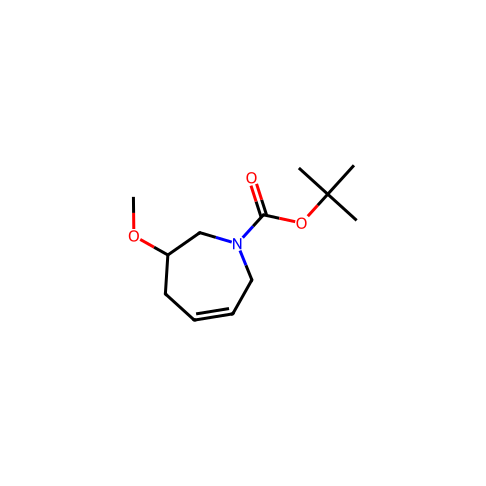 COC1CC=CCN(C(=O)OC(C)(C)C)C1